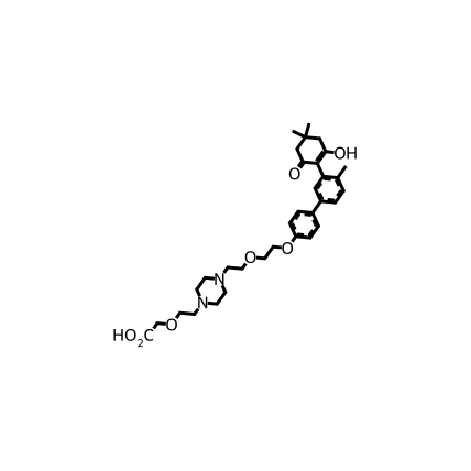 Cc1ccc(-c2ccc(OCCOCCN3CCN(CCOCC(=O)O)CC3)cc2)cc1C1=C(O)CC(C)(C)CC1=O